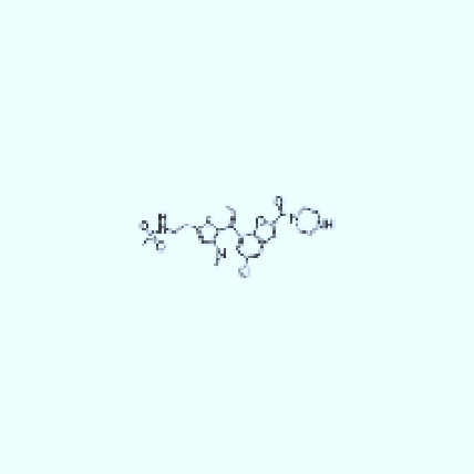 C=Nc1cc(CCNS(C)(=O)=O)sc1/C(=C\C)c1cc(Cl)cc2c1OC(C(=O)N1CCNCC1)C2